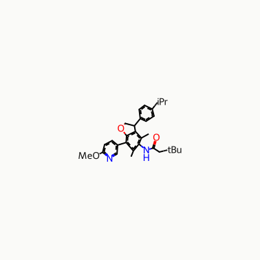 COc1ccc(-c2c(C)c(NC(=O)CC(C)(C)C)c(C)c3c2OCC3c2ccc(C(C)C)cc2)cn1